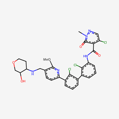 COc1nc(-c2cccc(-c3cccc(NC(=O)c4c(Cl)cnn(C)c4=O)c3Cl)c2Cl)ccc1CNC1CCOCC1O